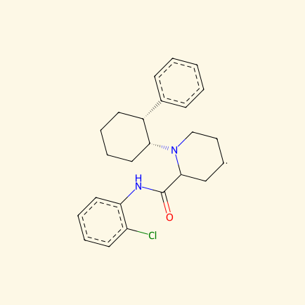 O=C(Nc1ccccc1Cl)C1C[CH]CCN1[C@@H]1CCCC[C@@H]1c1ccccc1